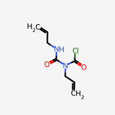 C=CCNC(=O)N(CC=C)C(=O)Cl